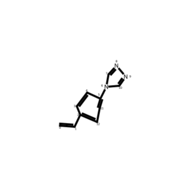 C=Cc1ccc(-n2cnnc2)cc1